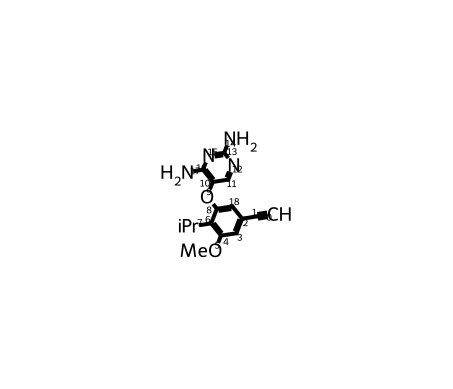 C#Cc1cc(OC)c(C(C)C)c(Oc2cnc(N)nc2N)c1